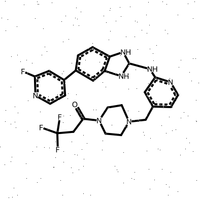 O=C(CC(F)(F)F)N1CCN(Cc2ccnc(NC3Nc4ccc(-c5ccnc(F)c5)cc4N3)c2)CC1